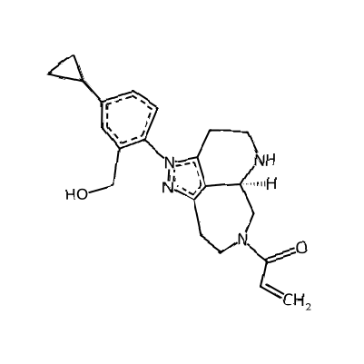 C=CC(=O)N1CCc2nn(-c3ccc(C4CC4)cc3CO)c3c2[C@H](C1)NCC3